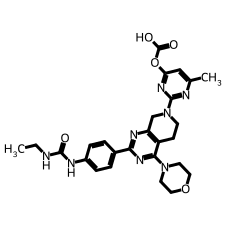 CCNC(=O)Nc1ccc(-c2nc3c(c(N4CCOCC4)n2)CCN(c2nc(C)cc(OC(=O)O)n2)C3)cc1